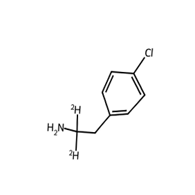 [2H]C([2H])(N)Cc1ccc(Cl)cc1